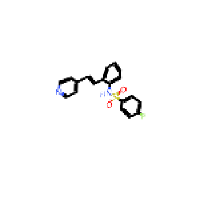 O=S(=O)(Nc1ccccc1C=Cc1ccncc1)c1ccc(F)cc1